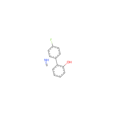 C=N.Oc1ccccc1-c1ccc(F)cc1